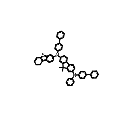 CC1(C)c2cc(N(c3ccccc3)c3ccc(-c4ccccc4)cc3)ccc2-c2ccc(N(c3ccc(-c4ccccc4)cc3)c3ccc4c5c(sc4c3)C=CCC5)cc21